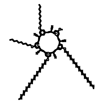 CCCCCCCCCCOc1cc2cc(c1)/C(C#N)=C/c1cc(OCCCCCCCCCC)cc(c1)/C(C#N)=C/c1cc(ON=NN=NN=NN=NN=NN=NN=NN=NN=NN=NC)cc(c1)/C(C#N)=C/c1cc(ON=NN=NN=NN=NN=NN=NN=NN=NN=NN=NC)cc(c1)/C(C#N)=C/c1cc(OC)cc(c1)/C(C#N)=C/2